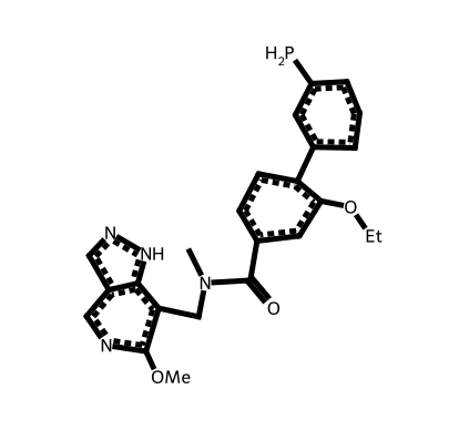 CCOc1cc(C(=O)N(C)Cc2c(OC)ncc3cn[nH]c23)ccc1-c1cccc(P)c1